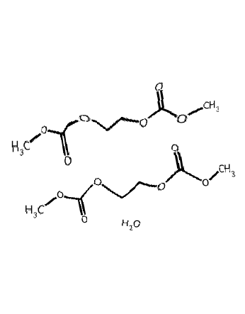 COC(=O)OCCOC(=O)OC.COC(=O)OCCOC(=O)OC.O